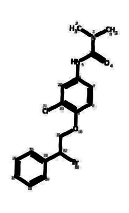 CN(C)C(=O)Nc1ccc(OCC(Br)c2ccccc2)c(Cl)c1